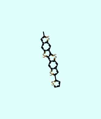 Cc1cc2cc3sc4c5cc6sc(-c7cccs7)cc6cc5sc4c3cc2s1